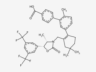 Cc1ccc(C2=C(CN3C(=O)O[C@H](c4cc(C(F)(F)F)cc(C(F)(F)F)c4)[C@@H]3C)CC(C)(C)CC2)cc1-c1ccc(C(=O)O)cc1